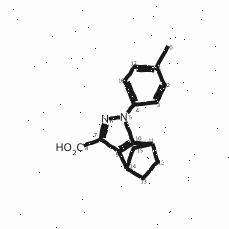 Cc1ccc(-n2nc(C(=O)O)c3c2C2CCC3C2)cc1